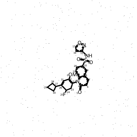 COC1=C(n2c(=O)ccc3cc(S(=O)(=O)Nc4ccon4)ccc32)CC(F)C(C2CCC2)=C1